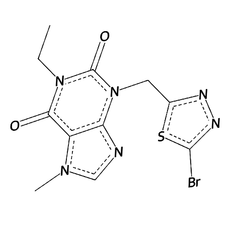 CCn1c(=O)c2c(ncn2C)n(Cc2nnc(Br)s2)c1=O